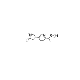 CC(SS)c1ccc(C2CC(=O)N(C)C2)cn1